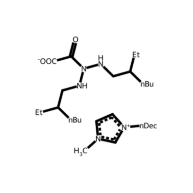 CCCCC(CC)CNN(NCC(CC)CCCC)C(=O)C(=O)[O-].CCCCCCCCCC[n+]1ccn(C)c1